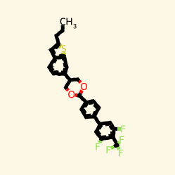 CCCc1cc2ccc(C3COC(c4ccc(-c5cc(F)c(C(F)(F)F)c(F)c5)cc4)OC3)cc2s1